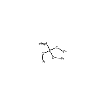 CCCCCCC[Si](OC(C)C)(OC(C)C)OC(C)C